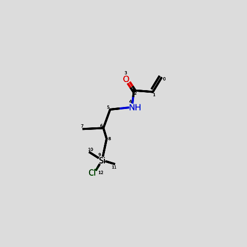 C=CC(=O)NCC(C)C[Si](C)(C)Cl